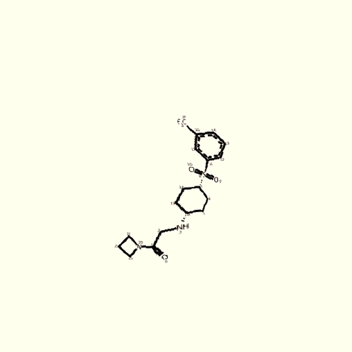 O=C(CN[C@H]1CC[C@@H](S(=O)(=O)c2cccc(C(F)(F)F)c2)CC1)N1CCC1